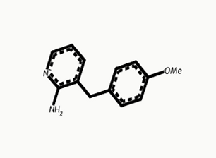 COc1ccc(Cc2cccnc2N)cc1